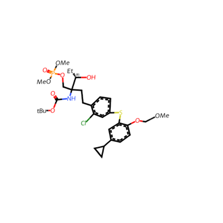 CC[C@@H](O)C(CCc1ccc(Sc2cc(C3CC3)ccc2OCOC)cc1Cl)(COP(=O)(OC)OC)NC(=O)OC(C)(C)C